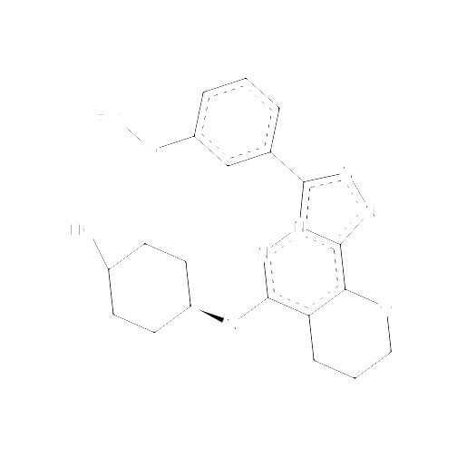 C[C@]1(O)CC[C@@H](Nc2nn3c(-c4cccc(OC(F)(F)F)c4)nnc3c3c2CCCO3)CC1